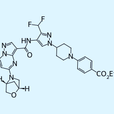 CCOC(=O)c1ccc(N2CCC(n3cc(NC(=O)c4cnn5ccc(N6C[C@H]7C[C@@H]6CO7)nc45)c(C(F)F)n3)CC2)cc1